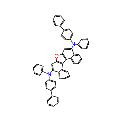 c1ccc(-c2ccc(N(c3ccccc3)c3cc4oc5cc(N(c6ccccc6)c6ccc(-c7ccccc7)cc6)c6ccccc6c5c4c4ccccc34)cc2)cc1